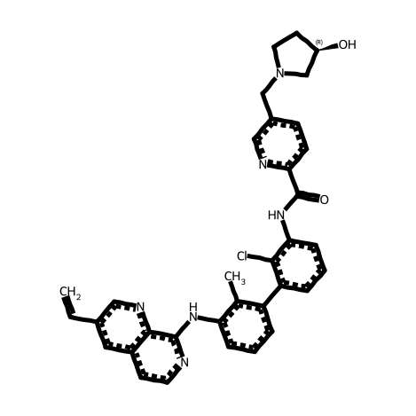 C=Cc1cnc2c(Nc3cccc(-c4cccc(NC(=O)c5ccc(CN6CC[C@@H](O)C6)cn5)c4Cl)c3C)nccc2c1